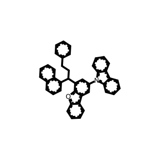 c1ccc(CCC(c2cccc3ccccc23)c2cc(-n3c4ccccc4c4ccccc43)cc3c2oc2ccccc23)cc1